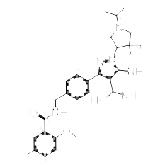 COc1ccc(F)cc1C(=O)NCc1ccc(-c2nn(C3CN(C(C)C)CC3(F)F)c(N)c2C(N)O)cc1